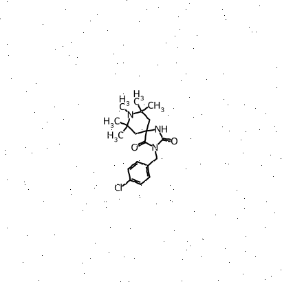 CN1C(C)(C)CC2(CC1(C)C)NC(=O)N(Cc1ccc(Cl)cc1)C2=O